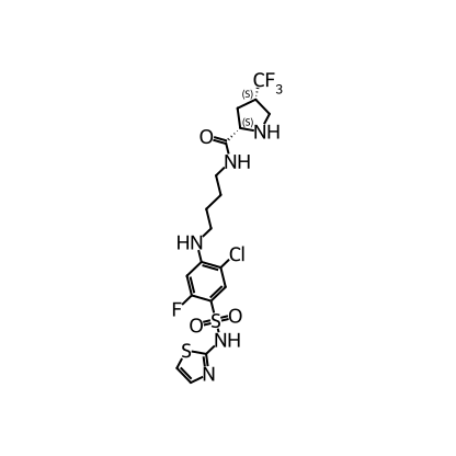 O=C(NCCCCNc1cc(F)c(S(=O)(=O)Nc2nccs2)cc1Cl)[C@@H]1C[C@H](C(F)(F)F)CN1